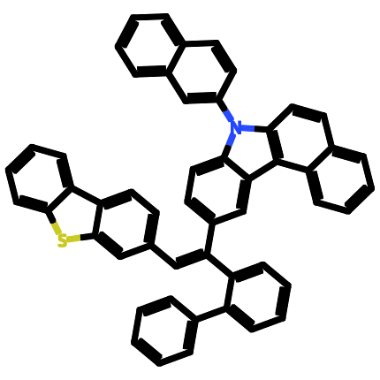 C(=C(/c1ccc2c(c1)c1c3ccccc3ccc1n2-c1ccc2ccccc2c1)c1ccccc1-c1ccccc1)/c1ccc2c(c1)sc1ccccc12